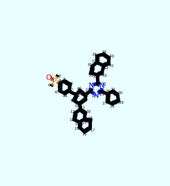 CP(C)(=O)c1ccc(-c2cc(-c3ccc4ccccc4c3)cc(-c3nc(-c4ccccc4)nc(-c4ccc5ccccc5c4)n3)c2)cc1